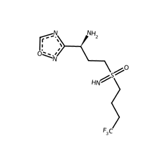 N=S(=O)(CCCC(F)(F)F)CC[C@H](N)c1ncon1